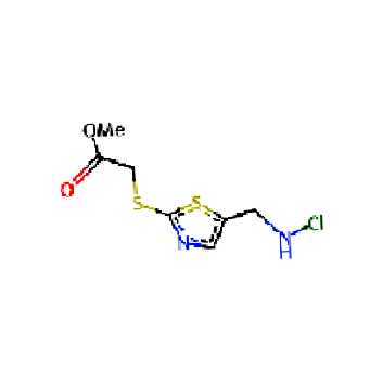 COC(=O)CSc1ncc(CNCl)s1